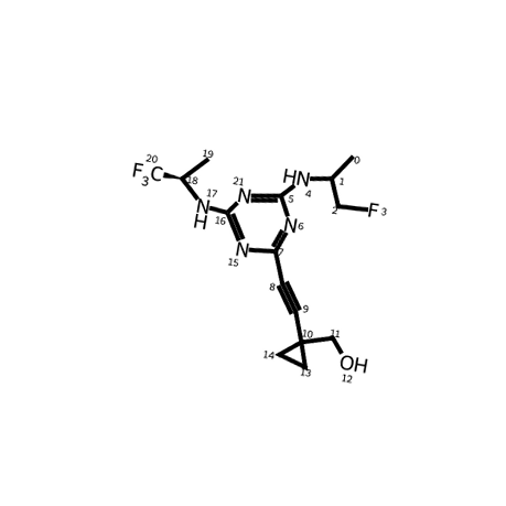 CC(CF)Nc1nc(C#CC2(CO)CC2)nc(N[C@H](C)C(F)(F)F)n1